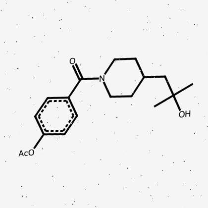 CC(=O)Oc1ccc(C(=O)N2CCC(CC(C)(C)O)CC2)cc1